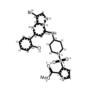 COC(=O)c1sccc1S(=O)(=O)N1CCC(Nc2cc(-c3ccccc3Cl)nc3c(Br)cnn23)CC1